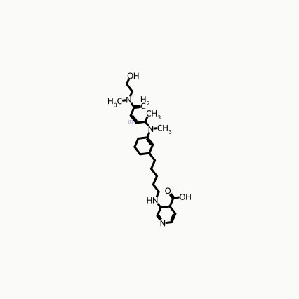 C=C(/C=C\C(C)N(C)C1=CC(CCCCCNC2C=NC=CC2C(=O)O)CCC1)N(C)CCO